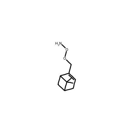 CC1(C)C2CC=C(COON)C1C2